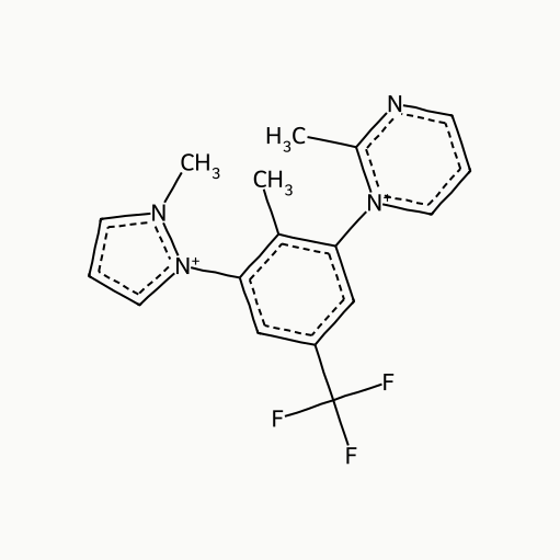 Cc1c(-[n+]2cccnc2C)cc(C(F)(F)F)cc1-[n+]1cccn1C